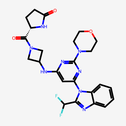 O=C1CC[C@@H](C(=O)N2CC(Nc3cc(-n4c(C(F)F)nc5ccccc54)nc(N4CCOCC4)n3)C2)N1